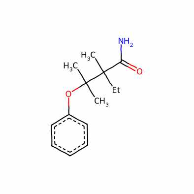 CCC(C)(C(N)=O)C(C)(C)Oc1ccccc1